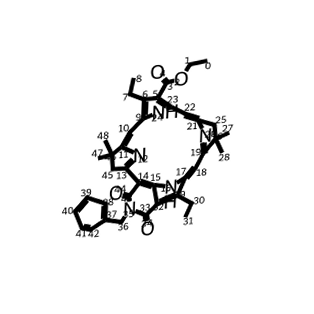 CCOC(=O)c1c(CC)c2cc3nc(c4c5[nH]c(cc6nc(cc1[nH]2)CC6(C)C)c(CC)c5C(=O)N(Cc1ccccc1)C4=O)CC3(C)C